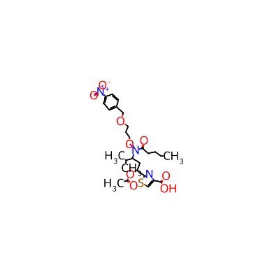 CCCCC(=O)N(OCCCOCc1ccc([N+](=O)[O-])cc1)C(CC(OC(C)=O)c1nc(C(=O)O)cs1)C(C)C